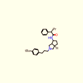 CC(C)C(C(=O)NC1CC[C@@H]2CN(CCCc3ccc(C(C)(C)C)cc3)CC12)c1ccccc1